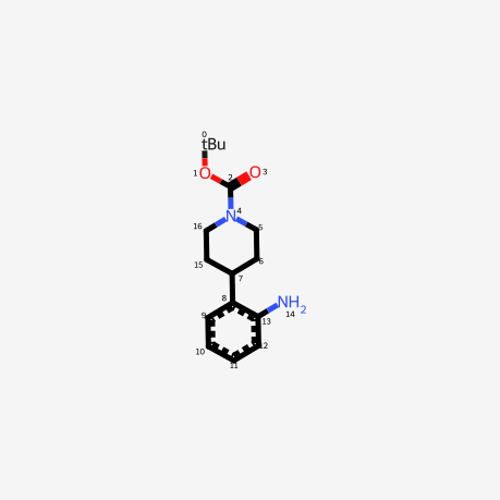 CC(C)(C)OC(=O)N1CCC(c2ccccc2N)CC1